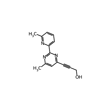 Cc1cccc(-c2nc(C)cc(C#CCO)n2)n1